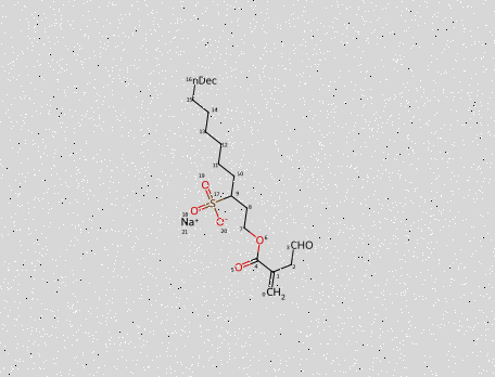 C=C(CC=O)C(=O)OCCC(CCCCCCCCCCCCCCCC)S(=O)(=O)[O-].[Na+]